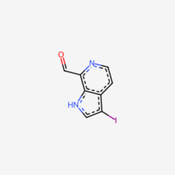 O=Cc1nccc2c(I)c[nH]c12